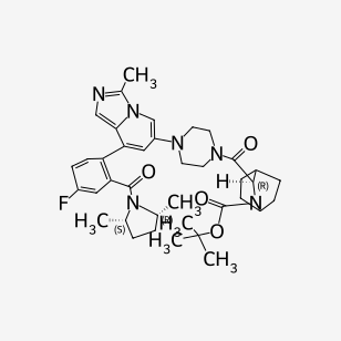 Cc1ncc2c(-c3ccc(F)cc3C(=O)N3[C@H](C)CC[C@@H]3C)cc(N3CCN(C(=O)[C@H]4C5CCC(CC5)N4C(=O)OC(C)(C)C)CC3)cn12